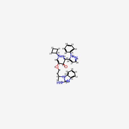 O=c1c(OCCC2CNc3nc4ccccc4n32)cn(C2CCC2)nc1-c1ccnn1-c1ccccc1